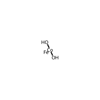 [Fe].[OH][Co][OH]